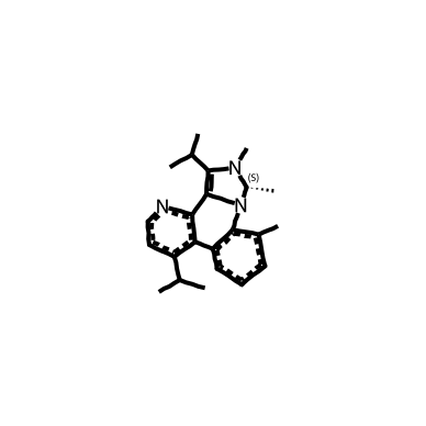 Cc1cccc2c1N1C(=C(C(C)C)N(C)[C@@H]1C)c1nccc(C(C)C)c1-2